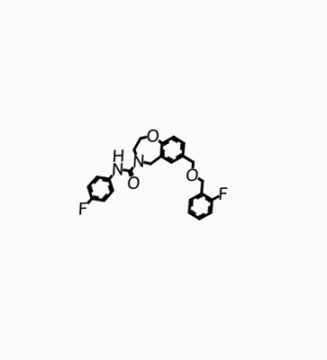 O=C(Nc1ccc(F)cc1)N1CCOc2ccc(COCc3ccccc3F)cc2C1